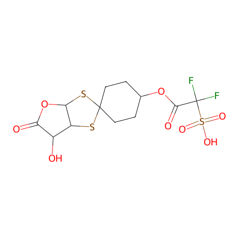 O=C1OC2SC3(CCC(OC(=O)C(F)(F)S(=O)(=O)O)CC3)SC2C1O